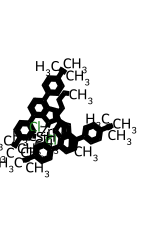 CCCCCC1=Cc2c(-c3ccc(C(C)(C)C)cc3)ccc(-c3ccc(C(C)(C)C)cc3)c2[CH]1[Zr]([Cl])([Cl])([CH]1C(CCCCC)=Cc2c(-c3ccc(C(C)(C)C)cc3)ccc(-c3ccc(C(C)(C)C)cc3)c21)[SiH](C)C